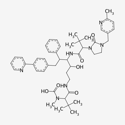 Cc1ccc(CN2CCN(C(C(=O)NC(C(O)CCNC(=O)C(N(C)C(=O)O)C(C)(C)C)C(Cc3ccc(-c4ccccn4)cc3)c3ccccc3)C(C)(C)C)C2=O)cn1